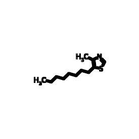 CCCCCCCCc1scnc1C